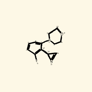 Fc1cccc(N2CCOCC2)c1C1C=N1